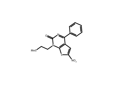 CSCCn1c(=O)nc(-c2ccccc2)c2cc([N+](=O)[O-])sc21